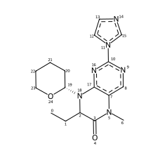 CCC1C(=O)N(C)c2cnc(-n3ccnc3)nc2N1[C@H]1CCCCO1